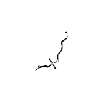 CCCCCO[Si](C)(C)CCl